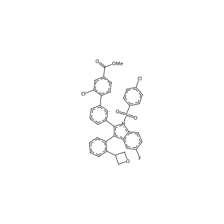 COC(=O)c1ccc(-c2cccc(-c3c(-c4ccccc4C4COC4)c4cc(F)ccc4n3S(=O)(=O)c3ccc(Cl)cc3)c2)c(Cl)c1